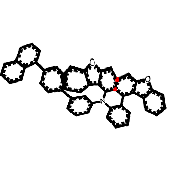 c1cc(-c2ccc(-c3cccc4ccccc34)cc2)cc(N(c2ccccc2-c2cccc3oc4ccccc4c23)c2cccc3oc4ccccc4c23)c1